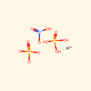 O=P(O)(O)O.O=P([O-])([O-])[O-].O=[N+]([O-])O.[Al+3]